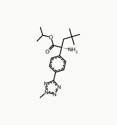 CC(C)OC(=O)[C@@](N)(CC(C)(C)C)c1ccc(-c2nnn(C)n2)cc1